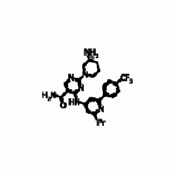 CC(C)c1cc(Nc2nc(N3CCC[C@H](N)C3)ncc2C(N)=O)cc(-c2ccc(C(F)(F)F)cc2)n1